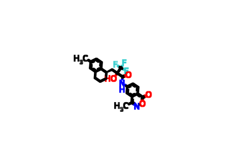 Cc1ccc2c(c1)CCC[C@@H]2CC(O)(C(=O)Nc1ccc2c(=O)onc(C)c2c1)C(F)(F)F